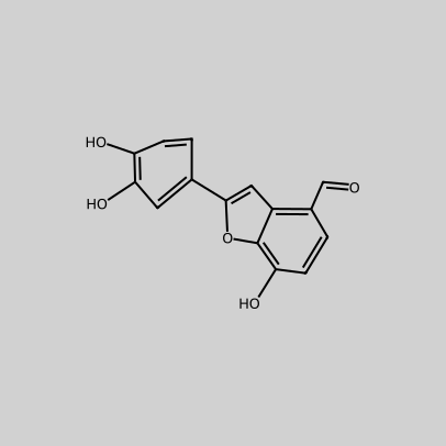 O=Cc1ccc(O)c2oc(-c3ccc(O)c(O)c3)cc12